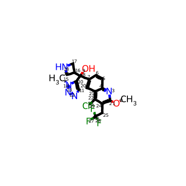 COc1nc2ccc(C(O)(c3cnnn3C)C3CNC3)cc2c(Cl)c1CC(F)(F)F